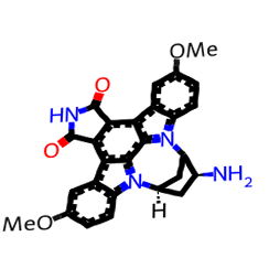 COc1ccc2c(c1)c1c3c(c4c5cc(OC)ccc5n5c4c1n2C1C[C@H]5C[C@@H]1N)C(=O)NC3=O